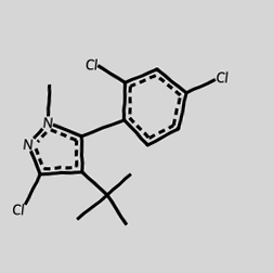 Cn1nc(Cl)c(C(C)(C)C)c1-c1ccc(Cl)cc1Cl